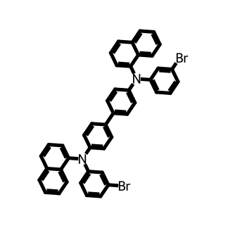 Brc1cccc(N(c2ccc(-c3ccc(N(c4cccc(Br)c4)c4cccc5ccccc45)cc3)cc2)c2cccc3ccccc23)c1